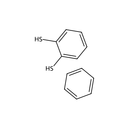 Sc1ccccc1S.c1ccccc1